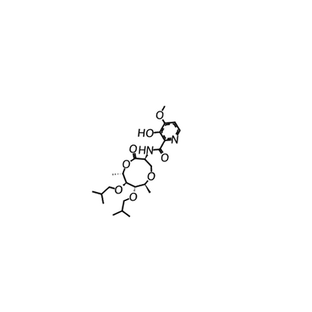 COc1ccnc(C(=O)N[C@H]2CO[C@@H](C)[C@H](OCC(C)C)[C@@H](OCC(C)C)[C@H](C)OC2=O)c1O